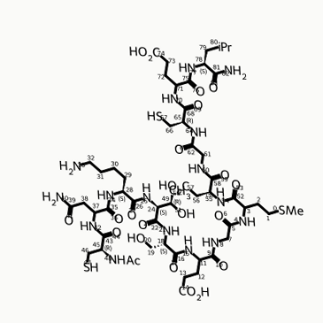 CSCCC(NC(=O)CNC(=O)C(CCC(=O)O)NC(=O)[C@H](CO)NC(=O)[C@@H](NC(=O)[C@H](CCCCN)NC(=O)C(CC(N)=O)NC(=O)[C@H](CS)NC(C)=O)[C@@H](C)O)C(=O)N[C@@H](CC(=O)O)C(=O)NCC(=O)N[C@@H](CS)C(=O)NC(CCC(=O)O)C(=O)N[C@@H](CC(C)C)C(N)=O